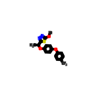 CCOc1nnc(C(C)Oc2ccc(Oc3ccc(C(F)(F)F)cc3)cc2)s1